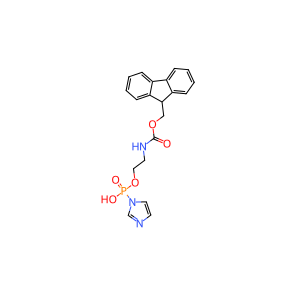 O=C(NCCOP(=O)(O)n1ccnc1)OCC1c2ccccc2-c2ccccc21